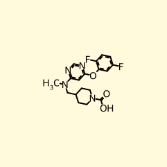 CN(CC1CCN(C(=O)O)CC1)c1cc(Oc2cc(F)ccc2F)ncn1